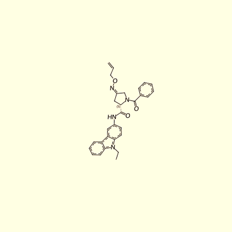 C=CCON=C1C[C@@H](C(=O)Nc2ccc3c(c2)c2ccccc2n3CC)N(C(=O)c2ccccc2)C1